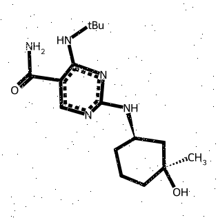 CC(C)(C)Nc1nc(N[C@@H]2CCC[C@](C)(O)C2)ncc1C(N)=O